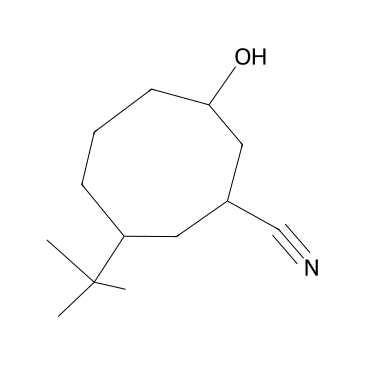 CC(C)(C)C1CCCC(O)CC(C#N)C1